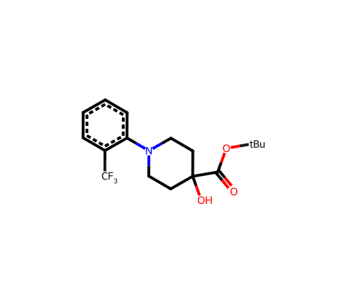 CC(C)(C)OC(=O)C1(O)CCN(c2ccccc2C(F)(F)F)CC1